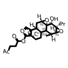 CC(=O)CCC(=O)Oc1occ2c1CC[C@@]1(C)[C@H]2C[C@@H]2O[C@@]23[C@H](O)[C@@]2(C(C)C)O[C@H]2[C@@H]2C[C@@]231